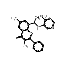 Cc1cc(C(C)Nc2cncnc2C(=O)O)c2oc(-c3ccccc3)c(C)c(=O)c2c1